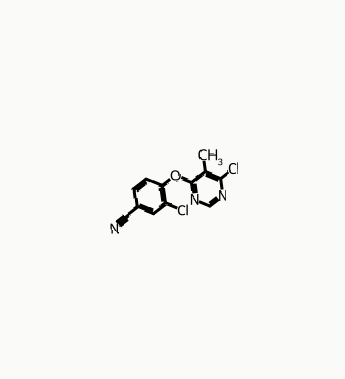 Cc1c(Cl)ncnc1Oc1ccc(C#N)cc1Cl